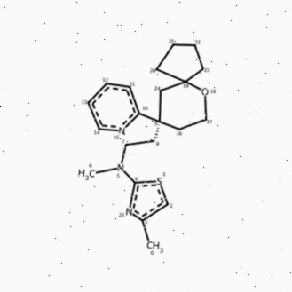 Cc1csc(N(C)CC[C@@]2(c3ccccn3)CCOC3(CCCC3)C2)n1